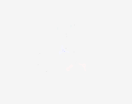 CCOC(=O)Cn1c(C(F)(F)F)cc2ccccc21